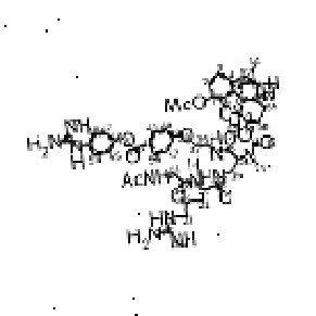 COc1ccc2c3c1O[C@H]1C(OC(=O)N(C)[C@@H](CNC(=O)[C@@H](CCCNC(=N)N)NC(=O)CNC(C)=O)C(=O)NCCOc4ccc(C(=O)Oc5ccc(NC(=N)N)cc5)cc4)=CC[C@H]4[C@@H](C2)C(C)CC[C@]314